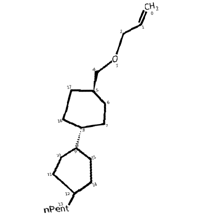 C=CCOC[C@H]1CC[C@H](C2CCC(CCCCC)CC2)CC1